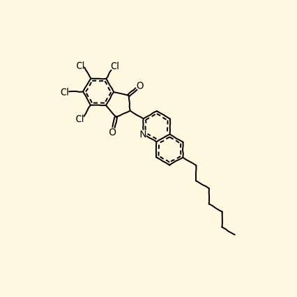 CCCCCCCc1ccc2nc(C3C(=O)c4c(Cl)c(Cl)c(Cl)c(Cl)c4C3=O)ccc2c1